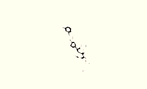 Cn1cc(-c2cnc(N)c(-c3ccc(C(=O)N[C@H](CO)c4cccc(Cl)c4)c(F)c3)c2)c(C#N)n1